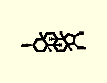 CN[C@H]1[C@H](O)C[C@H]2[C@@H]3CC[C@H]4C[C@@H](OC(C)=O)CC[C@]4(C)[C@H]3CC[C@@]21C